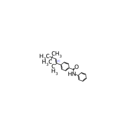 C/C(=C\C(C)(C)C)c1ccc(C(=O)Nc2ccccc2)cc1